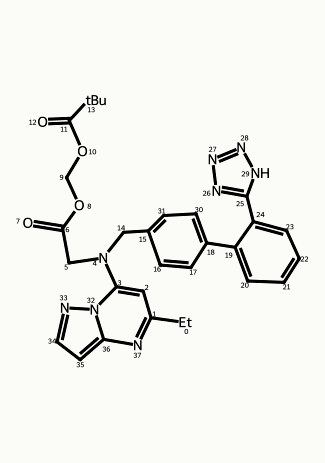 CCc1cc(N(CC(=O)OCOC(=O)C(C)(C)C)Cc2ccc(-c3ccccc3-c3nnn[nH]3)cc2)n2nccc2n1